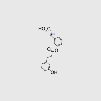 O=C(O)/C=C/c1cccc(OC(=O)CCc2cccc(O)c2)c1